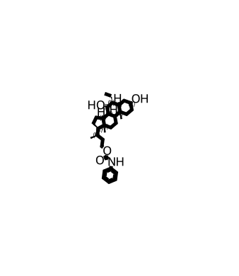 CC[C@H]1[C@@H](O)[C@@H]2C(CC[C@]3(C)[C@@H]([C@H](C)CCOC(=O)Nc4ccccc4)CC[C@@H]23)[C@@]2(C)CC[C@@H](O)C[C@@H]12